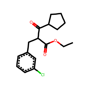 CCOC(=O)C(Cc1cccc(Cl)c1)C(=O)C1CCCC1